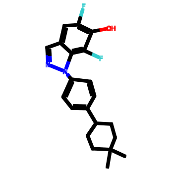 CC1(C)CCC(c2ccc(-n3ncc4cc(F)c(O)c(F)c43)cc2)CC1